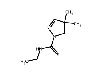 CCNC(=S)N1CC(C)(C)C=N1